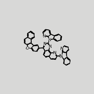 c1ccc2c(c1)ccc1oc3ccc(-c4nc(-n5c6ccccc6c6cccnc65)nc5c4ccc4ccc(-n6c7ccccc7c7cccnc76)nc45)cc3c12